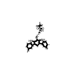 O=S(=O)(NCCOc1c2[nH]c3ccc(F)cc3c2cc2c1[nH]c1ccc(F)cc12)C(F)(F)F